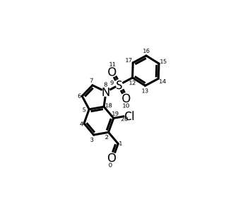 O=Cc1ccc2ccn(S(=O)(=O)c3ccccc3)c2c1Cl